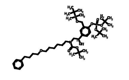 CC(C)(C)OC(=O)N(CCCCCCOCCCCc1ccccc1)C[C@H](O)c1ccc(OP(=O)(OC(C)(C)C)OC(C)(C)C)c(CO[Si](C)(C)C(C)(C)C)c1